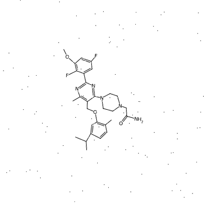 COc1cc(F)cc(-c2nc(C)c(COc3cc(C(C)C)ccc3C)c(N3CCN(CC(N)=O)CC3)n2)c1F